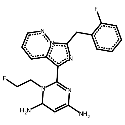 NC1=[C]C(N)N(CCF)C(c2nc(Cc3ccccc3F)n3ncccc23)=N1